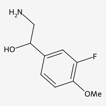 COc1ccc(C(O)CN)cc1F